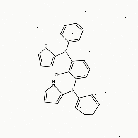 Clc1c(N(c2ccccc2)c2ccc[nH]2)cccc1N(c1ccccc1)c1ccc[nH]1